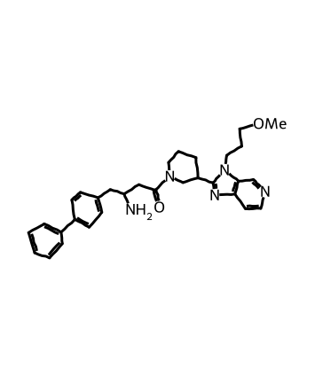 COCCCn1c(C2CCCN(C(=O)CC(N)Cc3ccc(-c4ccccc4)cc3)C2)nc2ccncc21